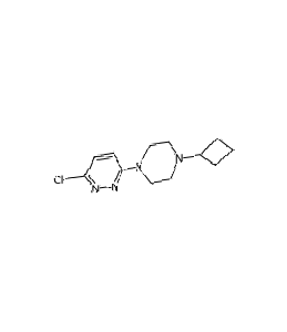 Clc1ccc(N2CCN(C3CCC3)CC2)nn1